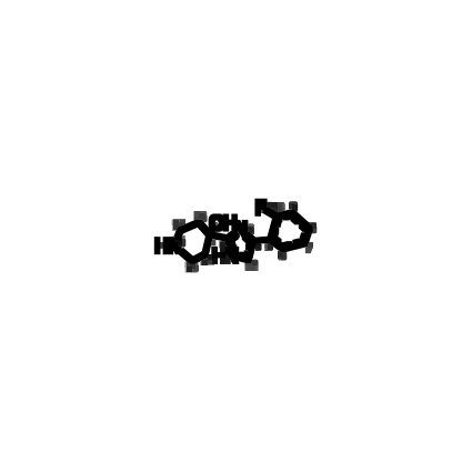 OC1(c2nc(-c3ccccc3F)c[nH]2)CCNCC1